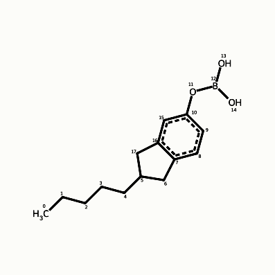 CCCCCC1Cc2ccc(OB(O)O)cc2C1